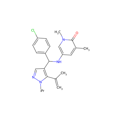 C=C(C)c1c(C(Nc2cc(C)c(=O)n(C)c2)c2ccc(Cl)cc2)cnn1C(C)C